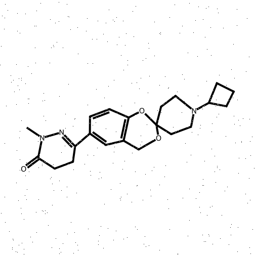 CN1N=C(c2ccc3c(c2)COC2(CCN(C4CCC4)CC2)O3)CCC1=O